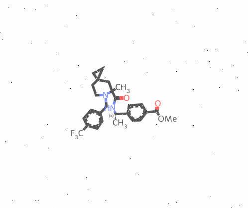 COC(=O)c1ccc([C@H](C)NC(=O)C2(C)CC3(CCN2Cc2ccc(C(F)(F)F)cc2)CC3)cc1